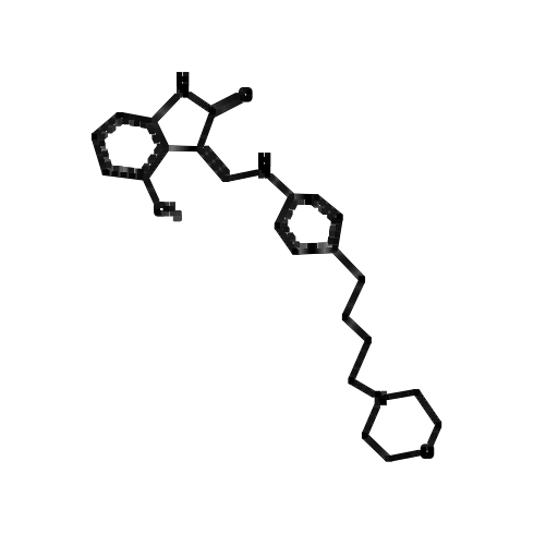 Cc1cccc2c1C(=CNc1ccc(CCCCN3CCOCC3)cc1)C(=O)N2